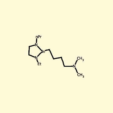 CCC[N]1CC[N](CC)[In]1[CH2]CCCN(C)C